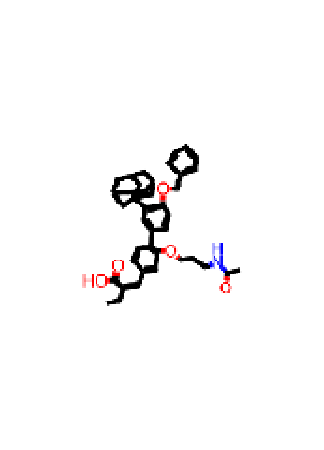 CCC(=Cc1ccc(-c2ccc(OCc3ccccc3)c(C34CC5CC(CC(C5)C3)C4)c2)c(OCCCNC(C)=O)c1)C(=O)O